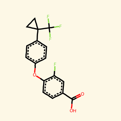 O=C(O)c1ccc(Oc2ccc(C3(C(F)(F)F)CC3)cc2)c(F)c1